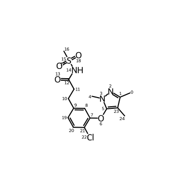 Cc1nn(C)c(Oc2cc(CCC(=O)NS(C)(=O)=O)ccc2Cl)c1C